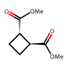 COC(=O)[C@H]1CC[C@@H]1C(=O)OC